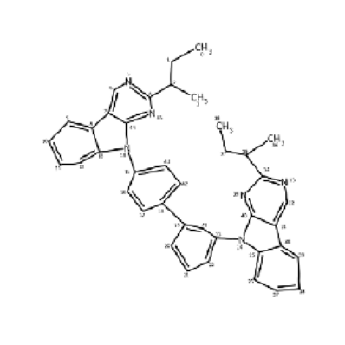 CCC(C)c1ncc2c3ccccc3n(-c3ccc(-c4cccc(-n5c6ccccc6c6cnc(C(C)CC)nc65)c4)cc3)c2n1